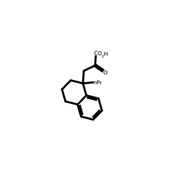 CCCC1(CC(=O)C(=O)O)CCCc2ccccc21